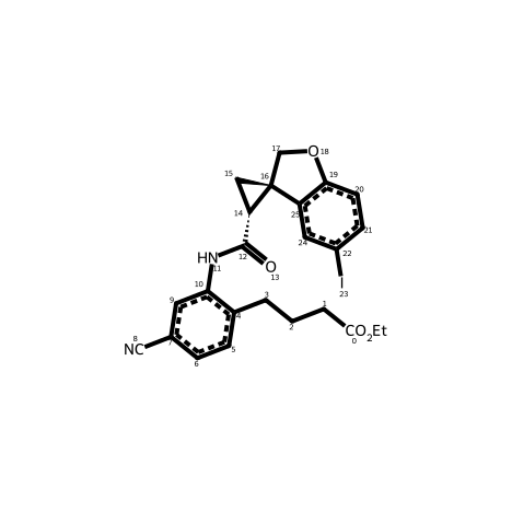 CCOC(=O)CCCc1ccc(C#N)cc1NC(=O)[C@@H]1C[C@]12COc1ccc(I)cc12